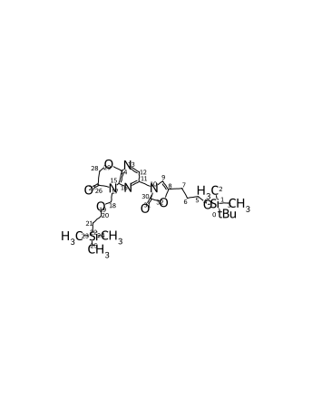 CC(C)(C)[Si](C)(C)OCCCc1cn(-c2cnc3c(n2)N(COCC[Si](C)(C)C)C(=O)CO3)c(=O)o1